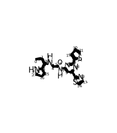 CCC(NCC(=O)Nc1cc(-c2nccs2)nc(-c2cccs2)n1)C1CCCN1